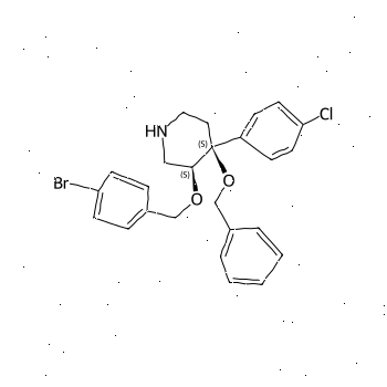 Clc1ccc([C@@]2(OCc3ccccc3)CCNC[C@@H]2OCc2ccc(Br)cc2)cc1